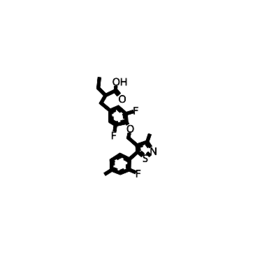 CCC(Cc1cc(F)c(OCc2c(C)nsc2-c2ccc(C)cc2F)c(F)c1)C(=O)O